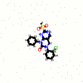 CS(=O)(=O)c1ncc2c(n1)N(c1ccccc1)C(=O)N(c1ccccc1Cl)C2